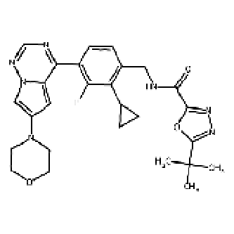 CC(C)(C)c1nnc(C(=O)NCc2ccc(-c3ncnn4cc(N5CCOCC5)cc34)c(F)c2C2CC2)o1